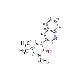 C=C1CC(C)(C)C=C(c2cnc3ccccc3c2)C1=O